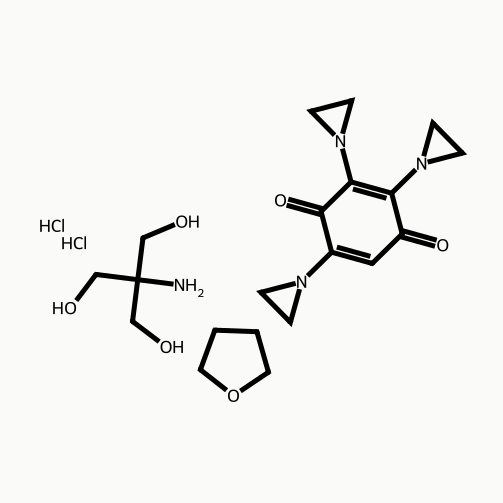 C1CCOC1.Cl.Cl.NC(CO)(CO)CO.O=C1C=C(N2CC2)C(=O)C(N2CC2)=C1N1CC1